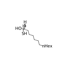 CCCCCCCCCCCC[PH](O)(S)S